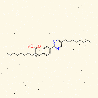 CCCCCCCCc1cnc(-c2ccc(C[C@@H](CCCCCCCC)C(=O)O)cc2)nc1